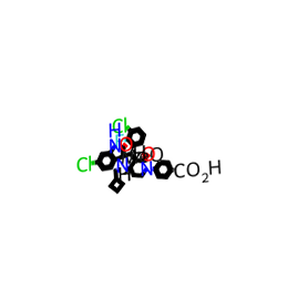 COc1cc(C(=O)O)ccc1N1CC[C@H]2[C@@H](C1=O)[C@H](c1cccc(Cl)c1F)[C@]1(C(=O)Nc3cc(Cl)ccc31)N2CC1CCC1